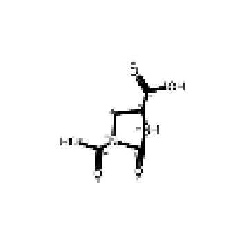 O=C(O)C1CN(C(=O)O)C(=O)N1